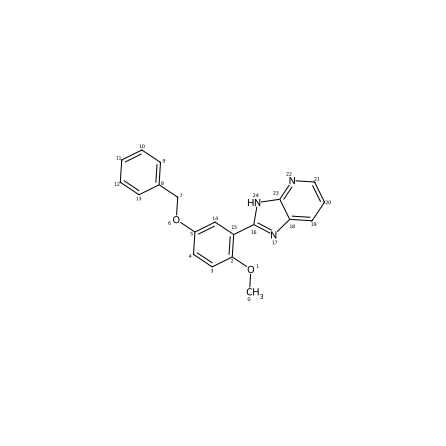 COc1ccc(OCc2ccccc2)cc1-c1nc2cccnc2[nH]1